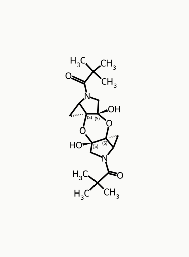 CC(C)(C)C(=O)N1C[C@]2(O)O[C@@]34CC3N(C(=O)C(C)(C)C)C[C@]4(O)O[C@]23CC13